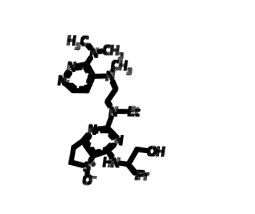 CCN(CCN(C)c1ccnnc1N(C)C)c1nc2c(c(NC(CO)C(C)C)n1)[S+]([O-])CC2